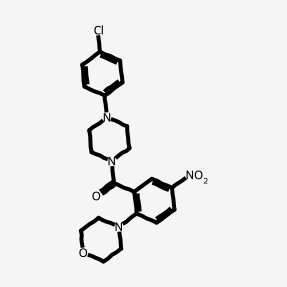 O=C(c1cc([N+](=O)[O-])ccc1N1CCOCC1)N1CCN(c2ccc(Cl)cc2)CC1